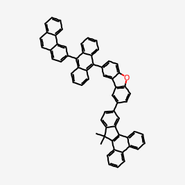 CC1(C)c2ccc(-c3ccc4oc5ccc(-c6c7ccccc7c(-c7ccc8ccc9ccccc9c8c7)c7ccccc67)cc5c4c3)cc2-c2c1c1ccccc1c1ccccc21